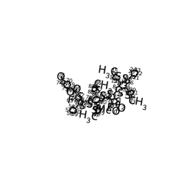 COC(=O)c1sc2c(-c3cc4c(-c5ccc(C)s5)c5sc(-c6ccccc6)cc5c(-c5ccc(C)s5)c4s3)sc(-c3cc4c(-c5ccc(C)s5)c5sc(-c6sc(-c7ccccc7)c7c(F)c(C(=O)Oc8ccc9c(c8)CC9=O)sc67)cc5c(-c5ccc(C)s5)c4s3)c2c1F